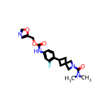 CN(C)C(=O)N1CC2(CC(c3ccc(NC(=O)OCc4cnco4)cc3F)C2)C1